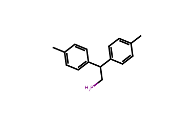 Cc1ccc(C(CP)c2ccc(C)cc2)cc1